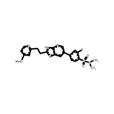 COc1ccnc(CCc2nc3cc(-c4ccc(S(=O)(=O)N(C)C)c(F)c4)cnc3[nH]2)c1